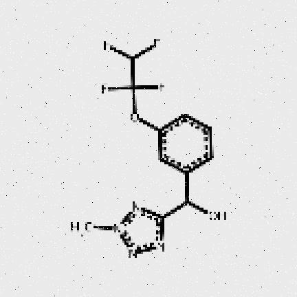 Cn1nnc(C(O)c2cccc(OC(F)(F)C(F)F)c2)n1